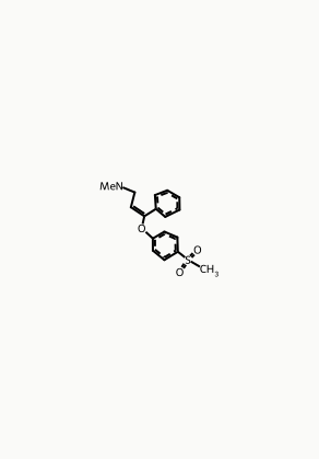 CNCC=C(Oc1ccc(S(C)(=O)=O)cc1)c1ccccc1